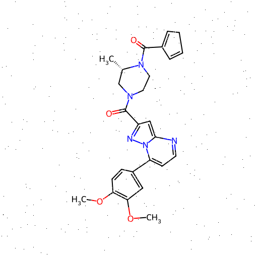 COc1ccc(-c2ccnc3cc(C(=O)N4CCN(C(=O)C5=CCC=C5)[C@@H](C)C4)nn23)cc1OC